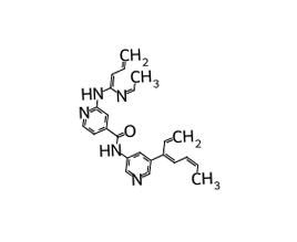 C=C/C=C(\N=C/C)Nc1cc(C(=O)Nc2cncc(/C(C=C)=C/C=C\C)c2)ccn1